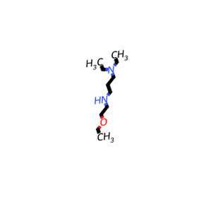 CCOCCNCCCN(CC)CC